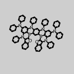 c1ccc(N(c2ccccc2)c2cc3c4c(c2)N(c2ccccc2)c2c(oc5ccccc25)B4c2cc4c(cc2N3c2ccccc2)N(c2ccccc2)c2cc(N(c3ccccc3)c3ccccc3)cc3c2B4c2oc4ccccc4c2N3c2ccccc2)cc1